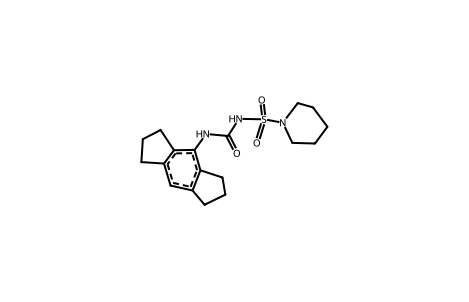 O=C(Nc1c2c(cc3c1CCC3)CCC2)NS(=O)(=O)N1CCCCC1